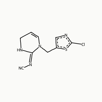 N#CN=C1NCC=CN1Cc1cnc(Cl)s1